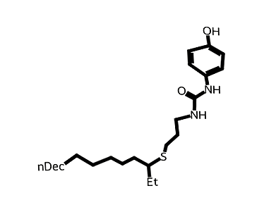 CCCCCCCCCCCCCCCC(CC)SCCCNC(=O)Nc1ccc(O)cc1